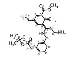 C=Cc1cc(C(=O)OC)c(=C)/c(=C(\NCN)NCC2=CC(NC(=O)OC(C)(C)C)=CCC2)c1